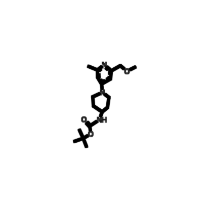 COCc1cc(N2CCC(NC(=O)OC(C)(C)C)CC2)cc(C)n1